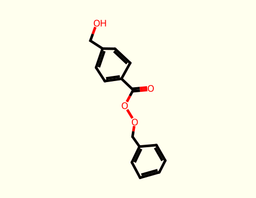 O=C(OOCc1ccccc1)c1ccc(CO)cc1